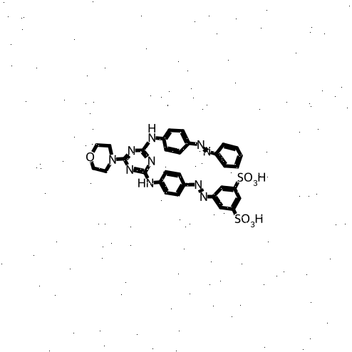 O=S(=O)(O)c1cc(N=Nc2ccc(Nc3nc(Nc4ccc(N=Nc5ccccc5)cc4)nc(N4CCOCC4)n3)cc2)cc(S(=O)(=O)O)c1